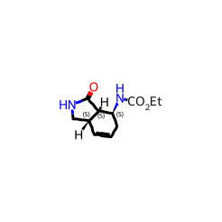 CCOC(=O)N[C@H]1CC=C[C@@H]2CNC(=O)[C@@H]21